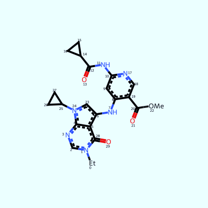 CCn1cnc2c(c(Nc3cc(NC(=O)C4CC4)ncc3C(=O)OC)cn2C2CC2)c1=O